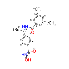 Cc1cc(C(=O)NC(c2ccc(C(=O)NO)cc2)C(C)(C)C)cc(C(F)(F)F)c1